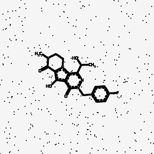 CC(O)c1nn(Cc2ccc(F)cc2)c(=O)c2c(O)c3n(c12)CCN(C)C3=O